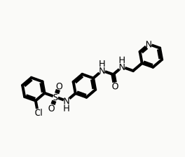 O=C(NCc1cccnc1)Nc1ccc(NS(=O)(=O)c2ccccc2Cl)cc1